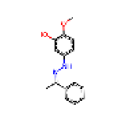 COc1ccc(NN=C(C)c2ccccc2)cc1O